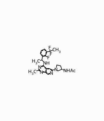 CC(=O)N[C@@H]1CCN(c2cc3c(NC(C)c4cccc(C(C)(F)F)c4F)nc(C)nc3cn2)C1